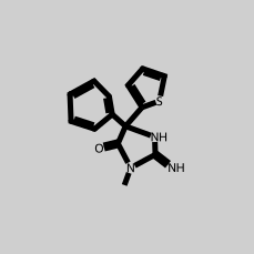 CN1C(=N)NC(c2ccccc2)(c2cccs2)C1=O